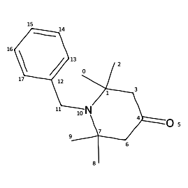 CC1(C)CC(=O)CC(C)(C)N1Cc1ccccc1